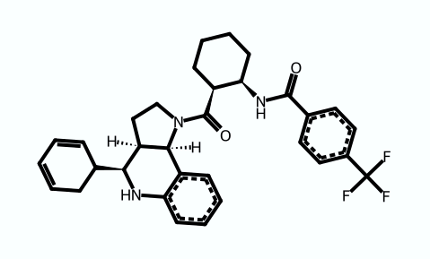 O=C(N[C@@H]1CCCC[C@@H]1C(=O)N1CC[C@@H]2[C@H](C3C=CC=CC3)Nc3ccccc3[C@@H]21)c1ccc(C(F)(F)F)cc1